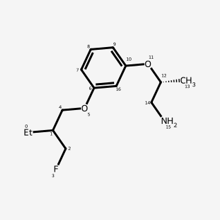 CCC(CF)COc1cccc(O[C@H](C)CN)c1